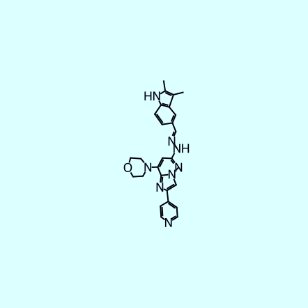 Cc1[nH]c2ccc(/C=N/Nc3cc(N4CCOCC4)c4nc(-c5ccncc5)cn4n3)cc2c1C